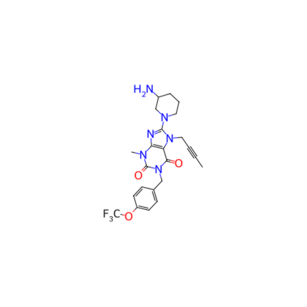 CC#CCn1c(N2CCCC(N)C2)nc2c1c(=O)n(Cc1ccc(OC(F)(F)F)cc1)c(=O)n2C